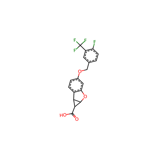 O=C(O)C1C2Oc3cc(OCc4ccc(F)c(C(F)(F)F)c4)ccc3C21